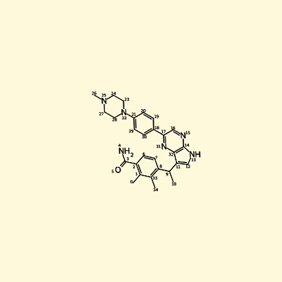 Cc1c(C(N)=O)ccc(C(C)c2c[nH]c3ncc(-c4ccc(N5CCN(C)CC5)cc4)nc23)c1C